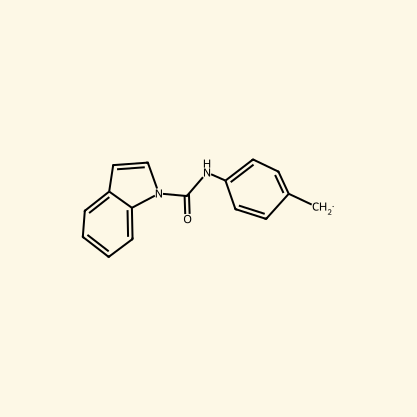 [CH2]c1ccc(NC(=O)n2ccc3ccccc32)cc1